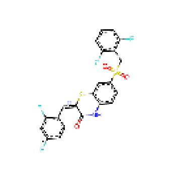 O=C1Nc2ccc(S(=O)(=O)Cc3c(F)cccc3F)cc2S/C1=C/c1ccc(F)cc1F